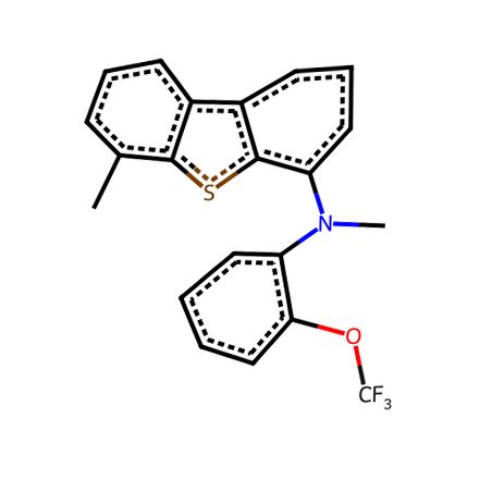 Cc1cccc2c1sc1c(N(C)c3ccccc3OC(F)(F)F)cccc12